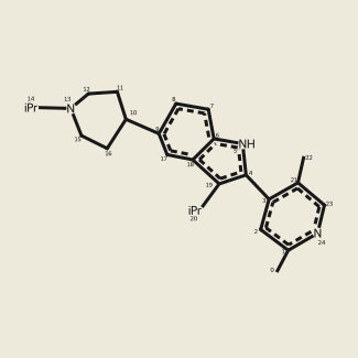 Cc1cc(-c2[nH]c3ccc(C4CCN(C(C)C)CC4)cc3c2C(C)C)c(C)cn1